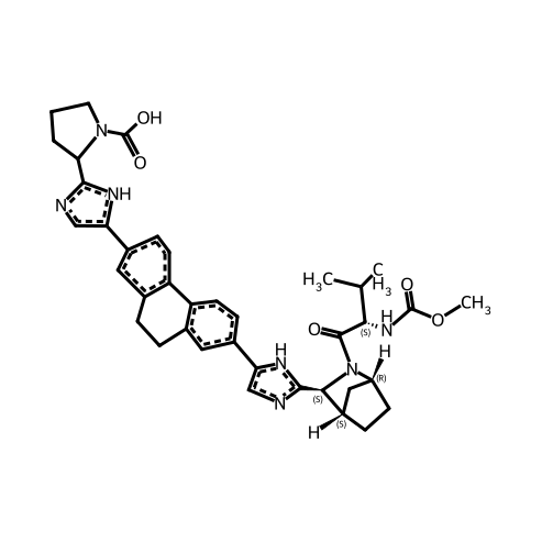 COC(=O)N[C@H](C(=O)N1[C@@H]2CC[C@@H](C2)[C@H]1c1ncc(-c2ccc3c(c2)CCc2cc(-c4cnc(C5CCCN5C(=O)O)[nH]4)ccc2-3)[nH]1)C(C)C